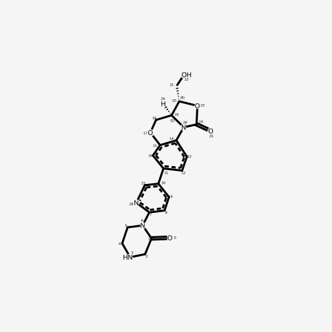 O=C1CNCCN1c1ccc(-c2ccc3c(c2)OC[C@H]2[C@H](CO)OC(=O)N32)cn1